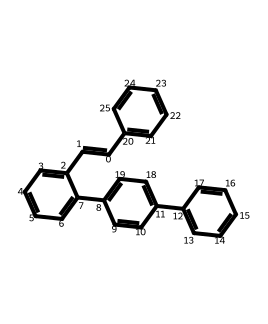 C(=Cc1ccccc1-c1ccc(-c2ccccc2)cc1)c1ccccc1